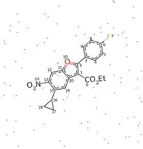 CCOC(=O)c1c(-c2ccc(F)cc2)oc2cc([N+](=O)[O-])c(C3CC3)cc12